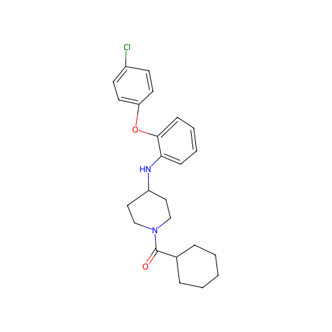 O=C(C1CCCCC1)N1CCC(Nc2ccccc2Oc2ccc(Cl)cc2)CC1